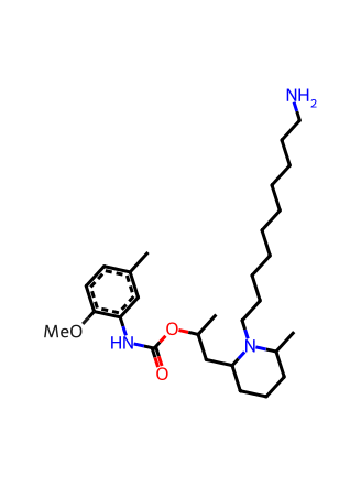 COc1ccc(C)cc1NC(=O)OC(C)CC1CCCC(C)N1CCCCCCCCCCN